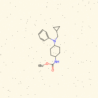 CC(C)(C)OC(=O)NC1CCC(N(CC2CC2)c2ccccc2)CC1